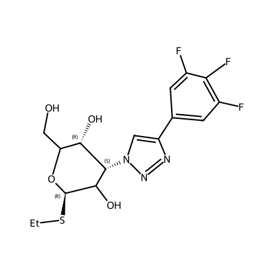 CCS[C@H]1OC(CO)[C@H](O)[C@H](n2cc(-c3cc(F)c(F)c(F)c3)nn2)C1O